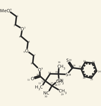 COCCOCCOCCOC(=O)C(C)(CC(C)(C#N)SC(=S)c1ccccc1)C(C)(C)C#N